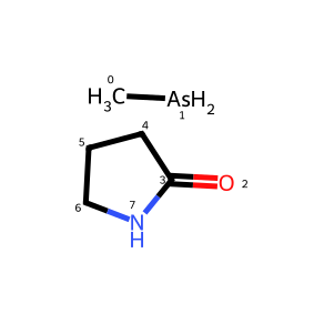 C[AsH2].O=C1CCCN1